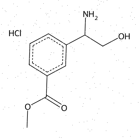 COC(=O)c1cccc(C(N)CO)c1.Cl